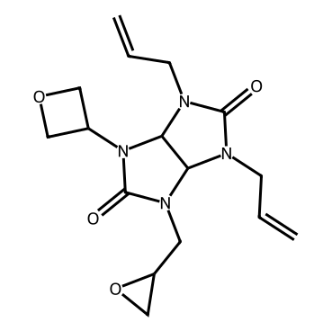 C=CCN1C(=O)N(CC=C)C2C1N(CC1CO1)C(=O)N2C1COC1